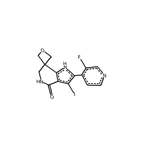 O=C1NCC2(COC2)c2[nH]c(-c3ccncc3F)c(I)c21